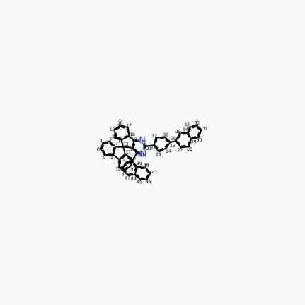 c1ccc2c(c1)-c1ccccc1C21c2ccccc2-c2nc(-c3ccc(-c4ccc5ccccc5c4)cc3)nc(-c3cccc4ccccc34)c21